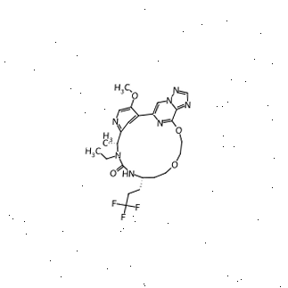 CCN1C(=O)N[C@@H](CCC(F)(F)F)CCOCCOc2nc(cn3ncnc23)-c2cc(ncc2OC)[C@H]1C